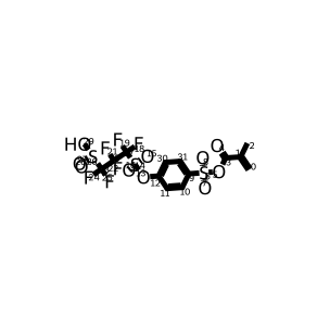 C=C(C)C(=O)OS(=O)(=O)c1ccc(OS(=O)(=O)C(F)(F)C(F)(F)C(F)(F)S(=O)(=O)O)cc1